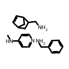 CNc1ccncc1.NCC1CC2C=CC1C2.NCc1ccccc1